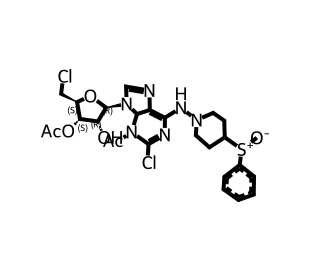 CC(=O)O[C@H]1[C@@H](O)[C@H](N2C=NC3=C(NN4CCC([S+]([O-])c5ccccc5)CC4)N=C(Cl)N(C(C)=O)C32)O[C@@H]1CCl